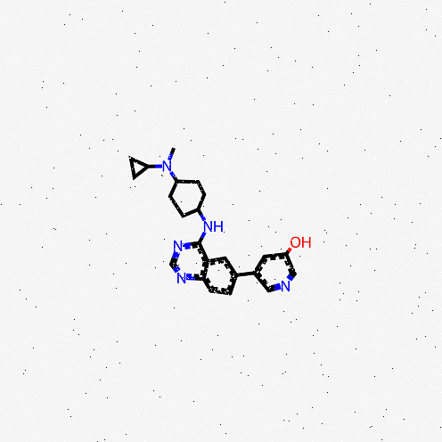 CN(C1CCC(Nc2ncnc3ccc(-c4cncc(O)c4)cc23)CC1)C1CC1